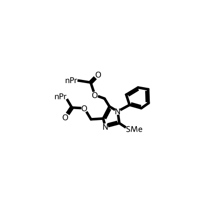 CCCC(=O)OCc1nc(SC)n(-c2ccccc2)c1COC(=O)CCC